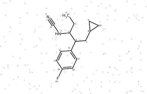 CCC(NC#N)C(CC1CC1)c1ccc(F)cc1